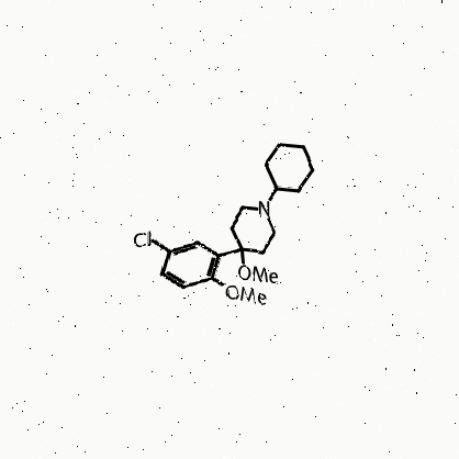 COc1ccc(Cl)cc1C1(OC)CCN(C2CCCCC2)CC1